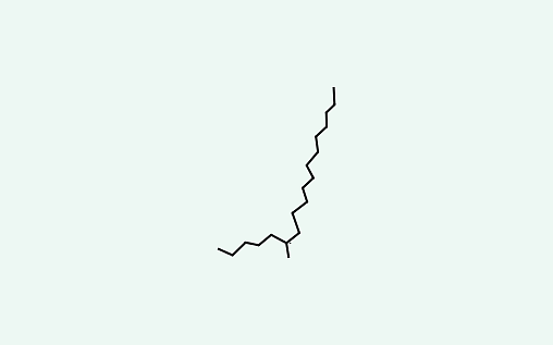 CCCCCCCCCCCC[C](C)CCCCC